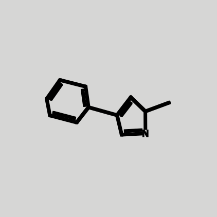 CC1C=C(c2ccccc2)C=N1